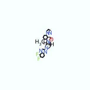 Cc1ccc(-n2cccn2)c(C=O)c1N1C[C@H]2CCN(c3cnc4c(F)c(F)ccc4n3)C[C@H]21